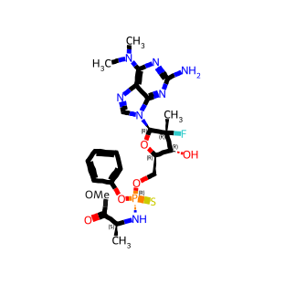 COC(=O)[C@H](C)N[P@@](=S)(OC[C@H]1O[C@@H](n2cnc3c(N(C)C)nc(N)nc32)[C@](C)(F)[C@@H]1O)Oc1ccccc1